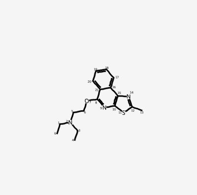 CCN(CC)CCOc1nc2sc(C)nc2c2ccccc12